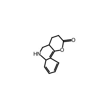 O=C1CCC2CNC3C=CC=CC3=C2O1